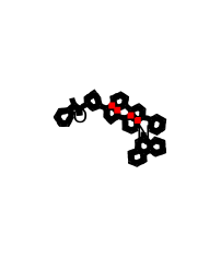 Cc1c(-c2cccc(-c3ccc(-c4ccc(N(c5ccccc5-c5ccc(-c6ccccc6)cc5)c5cc6ccccc6c6ccccc56)cc4)cc3)c2)oc2ccccc12